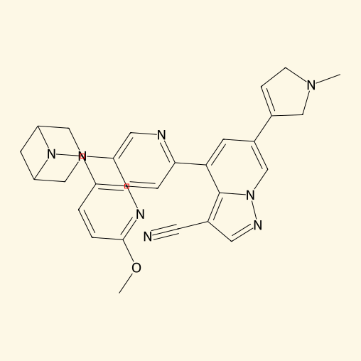 COc1ccc(CN2C3CC2CN(c2ccc(-c4cc(C5=CCN(C)C5)cn5ncc(C#N)c45)nc2)C3)cn1